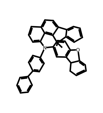 CC1(C)c2ccccc2-c2ccc3cccc(N(c4ccc(-c5ccccc5)cc4)c4ccc5c(c4)C4CC=CC=C4O5)c3c21